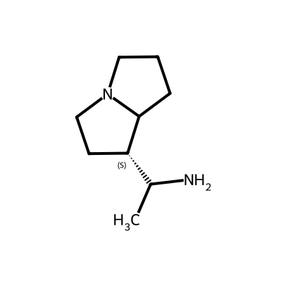 CC(N)[C@@H]1CCN2CCCC12